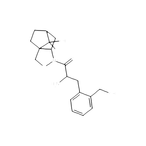 CC1(C)C2CCC13CSN(C(=O)C(N)Cc1ccccc1CO)C3C2